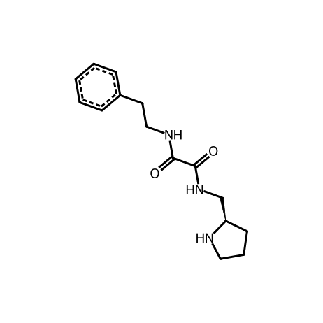 O=C(NCCc1ccccc1)C(=O)NC[C@H]1CCCN1